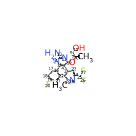 Cc1cc(-c2c(O[C@H](C)CO)nc(N)nc2-c2ccc(F)cc2)cc(C(F)F)n1